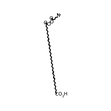 CN(C)CCCC(=O)OCOC(=O)CCCCCCCC=CCC=CCCCCCCCCCCCCCC=CCC=CCCCCCCCC(=O)O